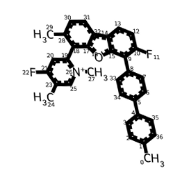 Cc1ccc(-c2ccc(-c3c(F)ccc4c3oc3c(-c5cc(F)c(C)c[n+]5C)c(C)ccc34)cc2)cc1